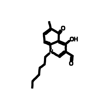 CCCCCCn1cc(C=O)c(O)c2c(=O)c(C)ccc1-2